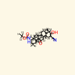 CC1(C)CC[C@]2(CNC(=O)OC(C)(C)C)CC[C@]3(C)[C@H](C(=O)C=C4[C@@]5(C)CC(C#N)=C(O)C(C)(C)[C@@H]5CC[C@]43C)[C@@H]2C1